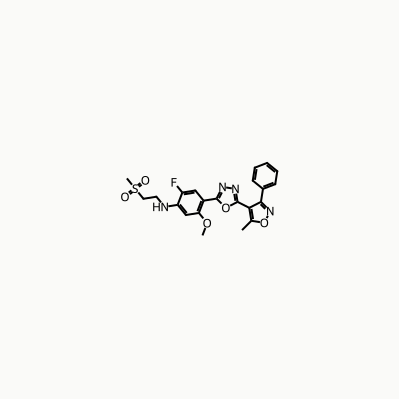 COc1cc(NCCS(C)(=O)=O)c(F)cc1-c1nnc(-c2c(-c3ccccc3)noc2C)o1